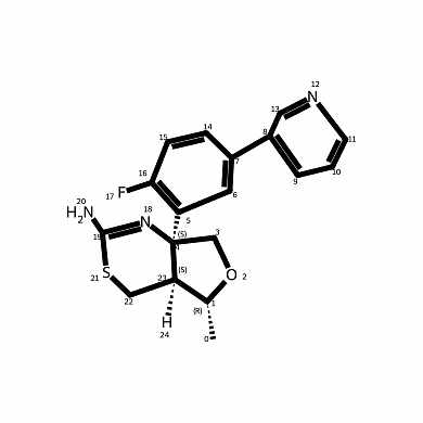 C[C@H]1OC[C@]2(c3cc(-c4cccnc4)ccc3F)N=C(N)SC[C@H]12